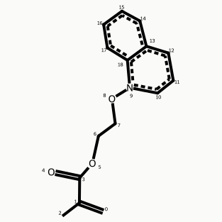 C=C(C)C(=O)OCCO[n+]1cccc2ccccc21